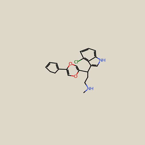 CNCCC(C1=COC(C2=CC=CCC2)=CO1)c1c[nH]c2cccc(Cl)c12